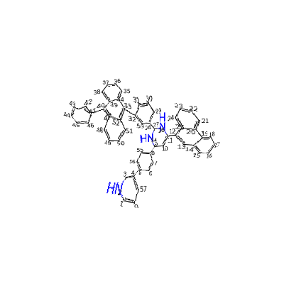 C1=CNCC(c2ccc(C3C=C(c4cc5ccccc5c5ccccc45)NC(c4cccc(-c5c6ccccc6c(-c6ccccc6)c6ccccc56)c4)N3)cc2)=C1